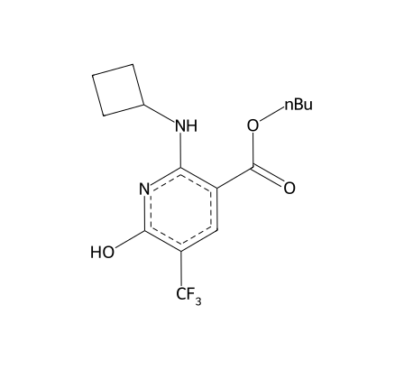 CCCCOC(=O)c1cc(C(F)(F)F)c(O)nc1NC1CCC1